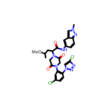 COC(C)CC(C(=O)Nc1ccc2nn(C)cc2c1)N1CC(=O)N(c2cc(Cl)ccc2-n2cc(Cl)nn2)CC1=O